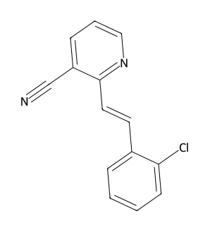 N#Cc1cccnc1/C=C/c1ccccc1Cl